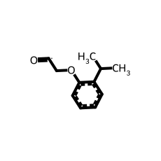 CC(C)c1ccccc1OC[C]=O